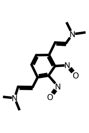 CN(C)/C=C/c1ccc(/C=C/N(C)C)c(N=O)c1N=O